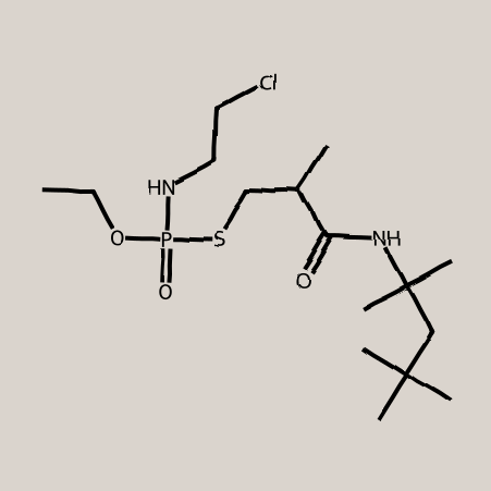 CCOP(=O)(NCCCl)SCC(C)C(=O)NC(C)(C)CC(C)(C)C